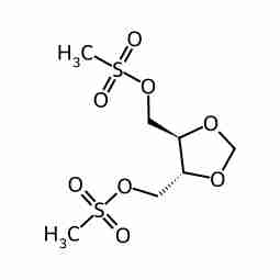 CS(=O)(=O)OC[C@H]1OCO[C@@H]1COS(C)(=O)=O